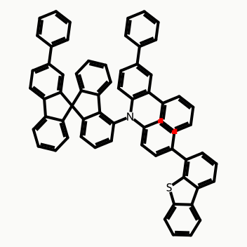 c1ccc(-c2ccc(N(c3ccc(-c4cccc5c4sc4ccccc45)cc3)c3cccc4c3-c3ccccc3C43c4ccccc4-c4ccc(-c5ccccc5)cc43)c(-c3ccccc3)c2)cc1